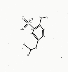 COc1ccc(CC(C)C)cc1S(=O)(=O)Cl